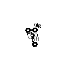 O=C(NCc1ccccc1)C(=O)Nc1ccc([N+](=O)[O-])cc1-c1ccccc1